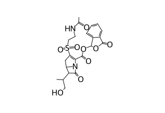 CC(=O)NCCS(=O)(=O)C1=C(C(=O)OC2OC(=O)c3ccccc32)N2C(=O)C(C(C)CO)C2C1